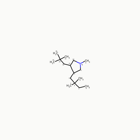 CCC(C)(C)CC1CN(C)CC1CC(C)(C)C